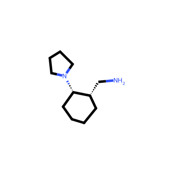 NC[C@@H]1CCCC[C@@H]1N1CCCC1